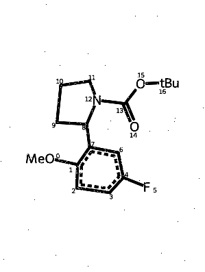 COc1ccc(F)cc1C1CCCN1C(=O)OC(C)(C)C